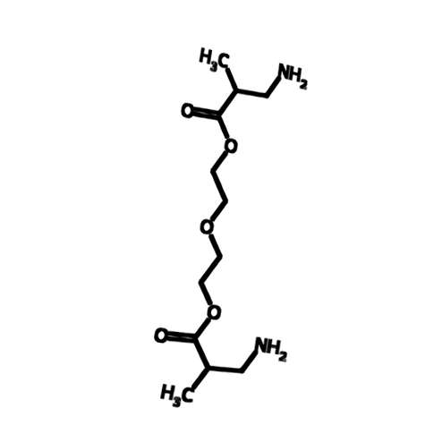 CC(CN)C(=O)OCCOCCOC(=O)C(C)CN